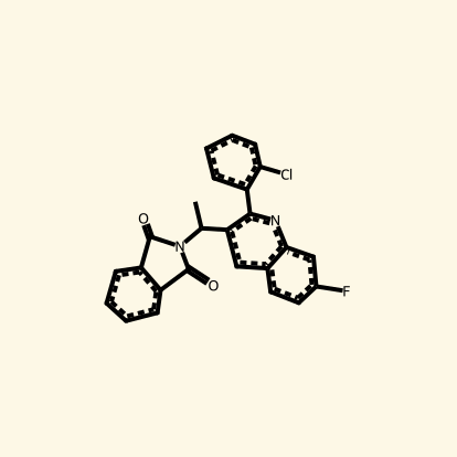 CC(c1cc2ccc(F)cc2nc1-c1ccccc1Cl)N1C(=O)c2ccccc2C1=O